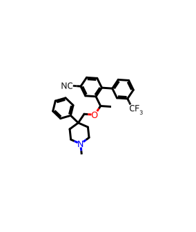 CC(OCC1(c2ccccc2)CCN(C)CC1)c1cc(C#N)ccc1-c1cccc(C(F)(F)F)c1